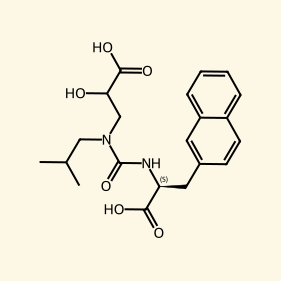 CC(C)CN(CC(O)C(=O)O)C(=O)N[C@@H](Cc1ccc2ccccc2c1)C(=O)O